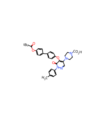 Cc1ccc(-n2ncc(N3CCN(C(=O)O)CC3)c(Oc3ccc(-c4ccc(OC(=O)C(C)(C)C)cc4)cc3)c2=O)cc1